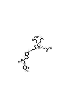 N=N/C(=C\Nc1ccc(O)c(F)c1)c1ccc2cc(OCCCC(=O)NC(COCCC(=O)O)(COCCC(=O)O)COCCC(=O)O)ccc2n1